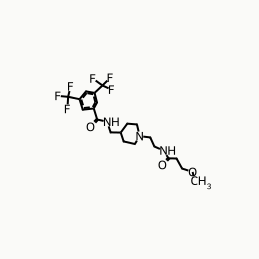 COCCC(=O)NCCN1CCC(CNC(=O)c2cc(C(F)(F)F)cc(C(F)(F)F)c2)CC1